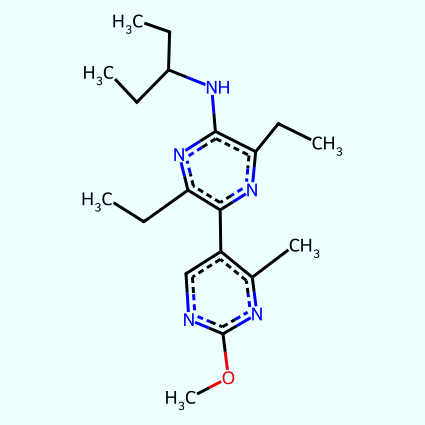 CCc1nc(-c2cnc(OC)nc2C)c(CC)nc1NC(CC)CC